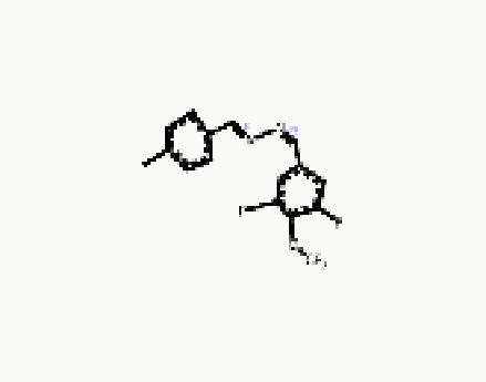 Cc1ccc(/C=N/N=C\c2cc(F)c(OC(F)(F)F)c(F)c2)cc1